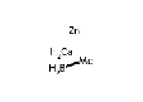 [BH2][Mo].[CaH2].[Zn]